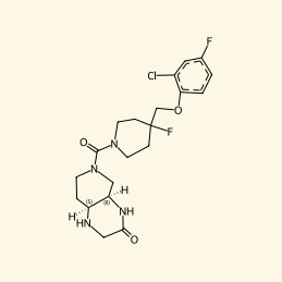 O=C1CN[C@H]2CCN(C(=O)N3CCC(F)(COc4ccc(F)cc4Cl)CC3)C[C@H]2N1